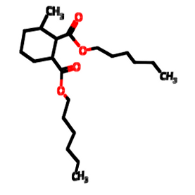 CCCCCCOC(=O)C1CCCC(C)C1C(=O)OCCCCCC